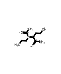 CCCN(C(C)=O)C(CCO)C(N)=O